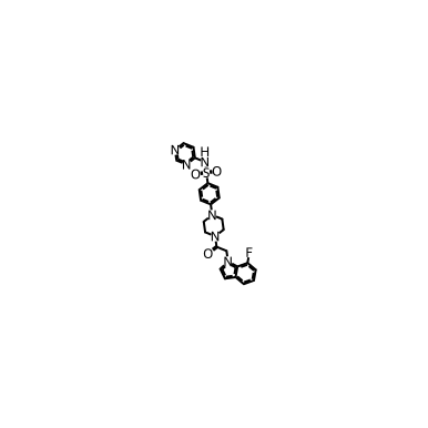 O=C(Cn1ccc2cccc(F)c21)N1CCN(c2ccc(S(=O)(=O)Nc3ccncn3)cc2)CC1